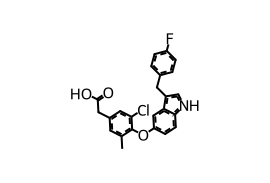 Cc1cc(CC(=O)O)cc(Cl)c1Oc1ccc2[nH]cc(Cc3ccc(F)cc3)c2c1